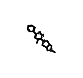 Cc1cc(-c2ccccc2)nnc1N1CC2CN(C)CC2C1